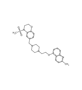 Cc1ccc2c(OCCN3CCN(Cc4ccc5c(c4)N(S(C)(=O)=O)CCO5)CC3)cccc2n1